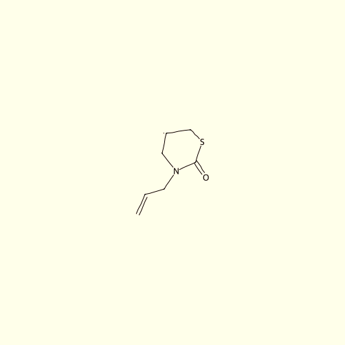 C=CCN1C[CH]CSC1=O